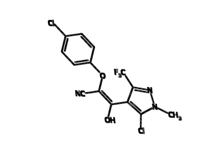 Cn1nc(C(F)(F)F)c(/C(O)=C(/C#N)Oc2ccc(Cl)cc2)c1Cl